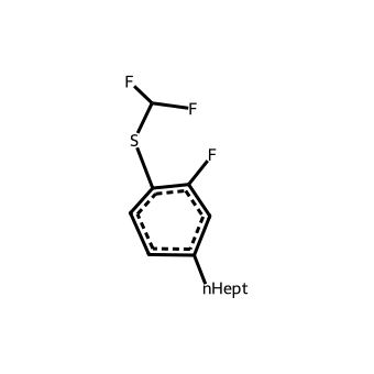 CCC[CH]CCCc1ccc(SC(F)F)c(F)c1